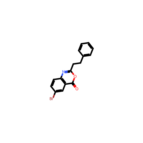 O=c1oc(CCc2ccccc2)nc2ccc(Br)cc12